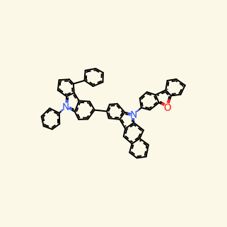 c1ccc(-c2cccc3c2c2cc(-c4ccc5c(c4)c4cc6ccccc6cc4n5-c4ccc5c(c4)oc4ccccc45)ccc2n3-c2ccccc2)cc1